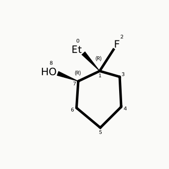 CC[C@@]1(F)CCCC[C@H]1O